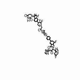 Cn1nc(N2CCC(=O)NC2=O)c2ccc(C3CCN(CC(=O)N4CC5(C4)CN(c4ccc(-c6cc(F)c7c(c6)C(=O)N(C(C(=O)Nc6nccs6)c6ncn8c6C[C@@H](F)C8)C7)cc4)C5)CC3(F)F)cc21